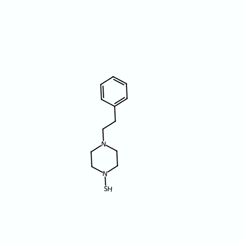 SN1CCN(CCc2ccccc2)CC1